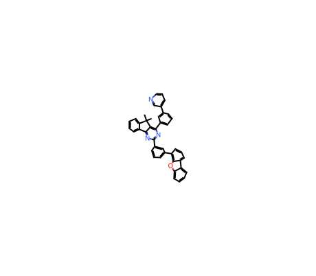 CC1(C)c2ccccc2-c2nc(-c3cccc(-c4cccc5c4oc4ccccc45)c3)nc(-c3cccc(-c4cccnc4)c3)c21